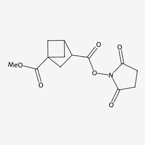 COC(=O)C12CC(C1)C(C(=O)ON1C(=O)CCC1=O)C2